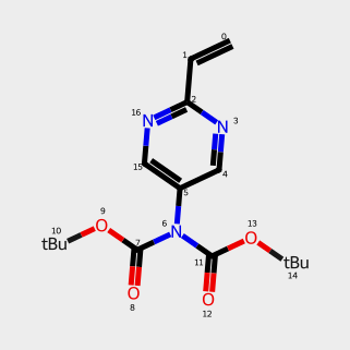 C=Cc1ncc(N(C(=O)OC(C)(C)C)C(=O)OC(C)(C)C)cn1